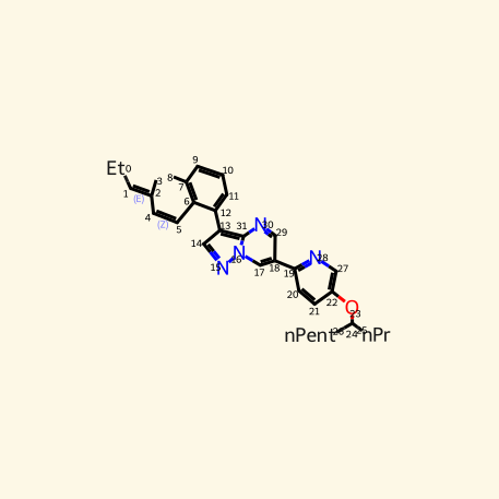 CC/C=C(C)/C=C\c1c(C)cccc1-c1cnn2cc(-c3ccc(OC(CCC)CCCCC)cn3)cnc12